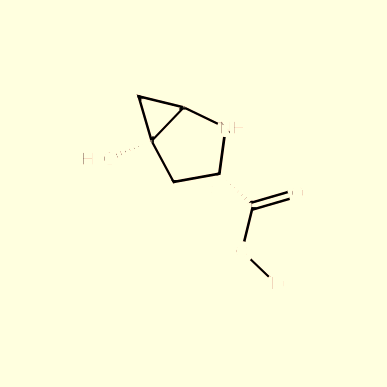 CCOC(=O)[C@@H]1C[C@@]2(C)CC2N1